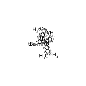 Cc1cc2cc3c(cc2cc1C)n1c2ccccc2c2c1n3-c1cc(CC(C)(C)C)cc3c1B2c1cc2c(cc1O3)C1(C)CCC2(C)CC1